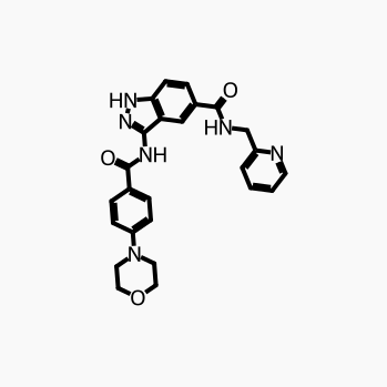 O=C(NCc1ccccn1)c1ccc2[nH]nc(NC(=O)c3ccc(N4CCOCC4)cc3)c2c1